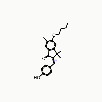 CCCCOc1cc2c(cc1C)C(=O)/C(=C\c1ccc(O)cc1)C2(C)C